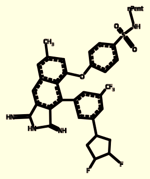 CCCCCNS(=O)(=O)c1ccc(Oc2cc(C)cc3cc4c(c(-c5cc(C6CC(F)C(F)C6)cc(C(F)(F)F)c5)c23)C(=N)NC4=N)cc1